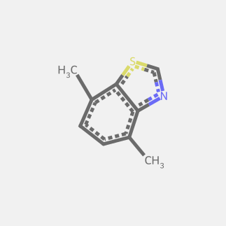 Cc1ccc(C)c2scnc12